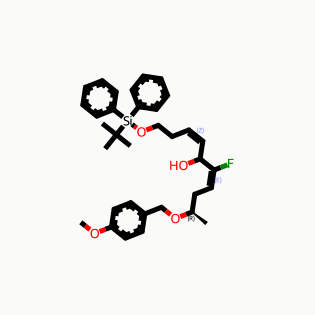 COc1ccc(CO[C@H](C)C/C=C(/F)C(O)/C=C\CCO[Si](c2ccccc2)(c2ccccc2)C(C)(C)C)cc1